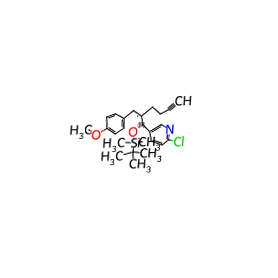 C#CCC[C](Cc1ccc(OC)cc1)[C@@H](O[Si](C)(C)C(C)(C)C)c1ccc(Cl)nc1